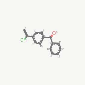 C=C(Cl)c1ccc(C(=O)c2ccccc2)cc1